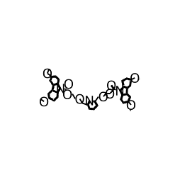 COc1ccc2c(c1)c1cc(OC)ccc1n2C(=O)OCCOCc1cccc(COCOC(=O)n2c3ccc(OC)cc3c3cc(OC)ccc32)n1